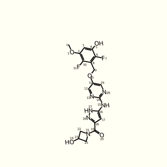 COc1cc(O)c(F)c(COc2cnc(Nc3cc(C(=O)N4CC(O)C4)n[nH]3)nc2)c1F